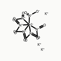 O=[N+]([O-])[Ir-3]([N+](=O)[O-])([N+](=O)[O-])([N+](=O)[O-])([N+](=O)[O-])[N+](=O)[O-].[K+].[K+].[K+]